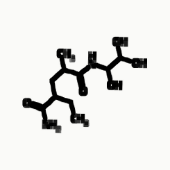 CCC(CC(C)C(=O)NC(O)C(O)O)C(N)=O